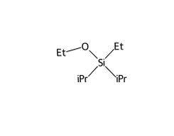 CCO[Si](CC)(C(C)C)C(C)C